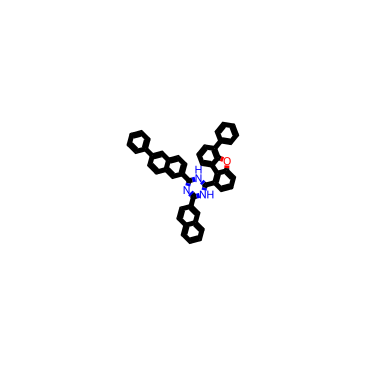 c1ccc(-c2ccc3cc(C4N=C(c5ccc6ccccc6c5)NC(c5cccc6oc7c(-c8ccccc8)cccc7c56)N4)ccc3c2)cc1